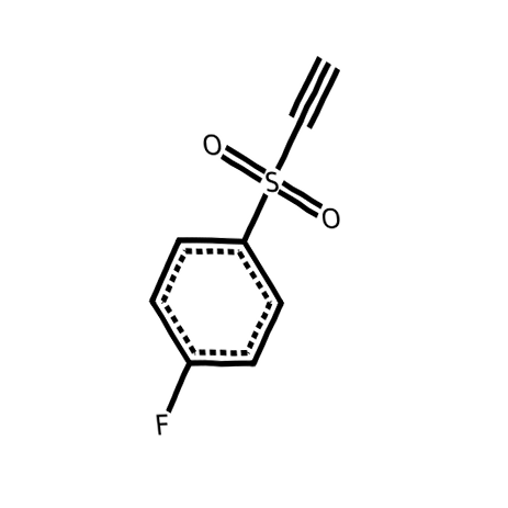 C#CS(=O)(=O)c1ccc(F)cc1